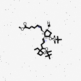 CCC1(C(C/C=C/[C@@H]2[C@@H](C/C=C\CCCC(=O)OC)[C@H](C#N)C[C@H]2O[Si](C)(C)C(C)(C)C)O[Si](C)(C)C(C)(C)C)CCC1